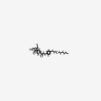 CCCCCCCCCCc1ccc(CCC(=O)N2CCC(NCC)(C(=O)O)CC2)cc1